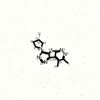 Cc1nnc2sc3c(N4CC[C@H](C)C4)ncnc3c2c1C